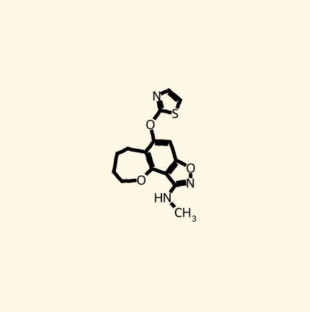 CNc1noc2cc(Oc3nccs3)c3c(c12)OCCCC3